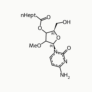 CCCCCCCC(=O)OC1C(OC)[C@H](n2ccc(N)nc2=O)O[C@@H]1CO